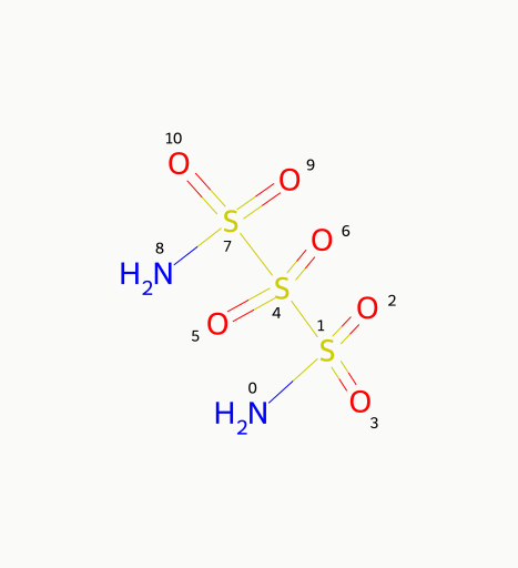 NS(=O)(=O)S(=O)(=O)S(N)(=O)=O